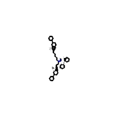 CC[n+]1c(C=C/C(CCCCC=C2Oc3ccc(-c4ccccc4)cc3N2C)=C(/C)N(c2ccccc2)c2ccccc2)oc2ccc(-c3ccccc3)cc21